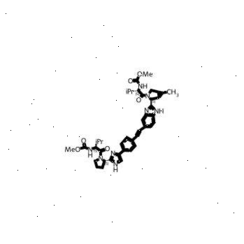 COC(=O)N[C@H](C(=O)N1CC2C(C)C2[C@H]1c1nc2cc(C#Cc3ccc(-c4c[nH]c([C@@H]5CCCN5C(=O)[C@@H](NC(=O)OC)C(C)C)n4)cc3)ccc2[nH]1)C(C)C